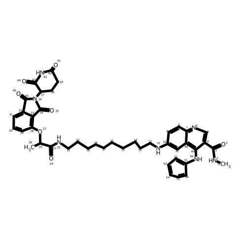 CNC(=O)c1cnc2ccc(NCCCCCCCCCCNC(=O)C(C)Oc3cccc4c3C(=O)N(C3CCC(=O)NC3=O)C4=O)cc2c1Nc1ccccc1